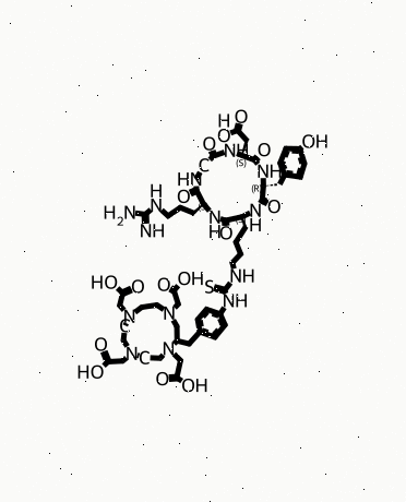 N=C(N)NCCC[C@@H]1NC(=O)[C@H](CCCCNC(=S)Nc2ccc(CC3CN(CC(=O)O)CCN(CC(=O)O)CCN(CC(=O)O)CCN3CC(=O)O)cc2)NC(=O)[C@@H](Cc2ccc(O)cc2)NC(=O)[C@H](CC(=O)O)NC(=O)CNC1=O